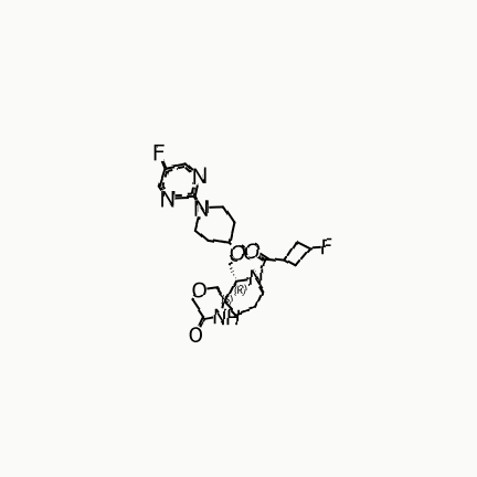 O=C1COC[C@@]2(CCCN(C(=O)C3CC(F)C3)[C@H]2COC2CCN(c3ncc(F)cn3)CC2)N1